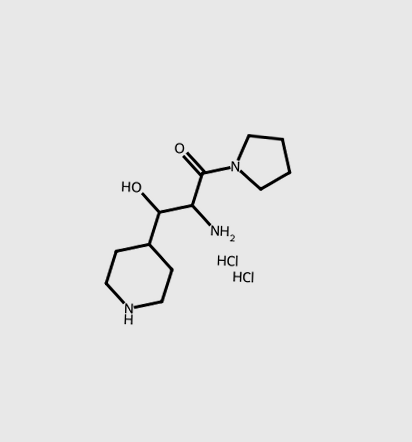 Cl.Cl.NC(C(=O)N1CCCC1)C(O)C1CCNCC1